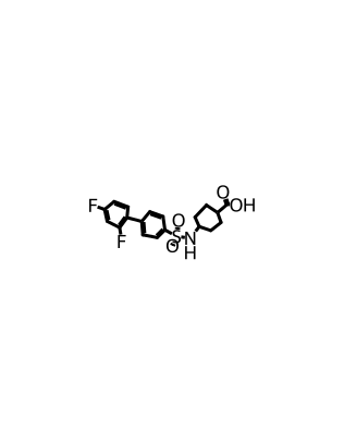 O=C(O)C1CCC(NS(=O)(=O)c2ccc(-c3ccc(F)cc3F)cc2)CC1